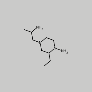 CCC1CN(CC(C)N)CCN1N